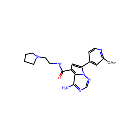 COc1cc(-c2cc(C(=O)NCCN3CCCC3)c3c(N)ncnn23)ccn1